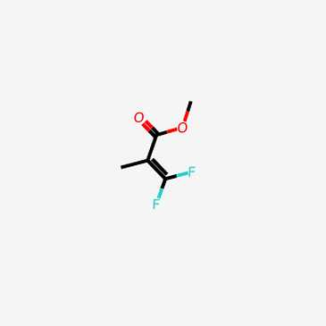 COC(=O)C(C)=C(F)F